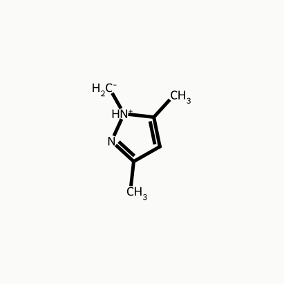 [CH2-][NH+]1N=C(C)C=C1C